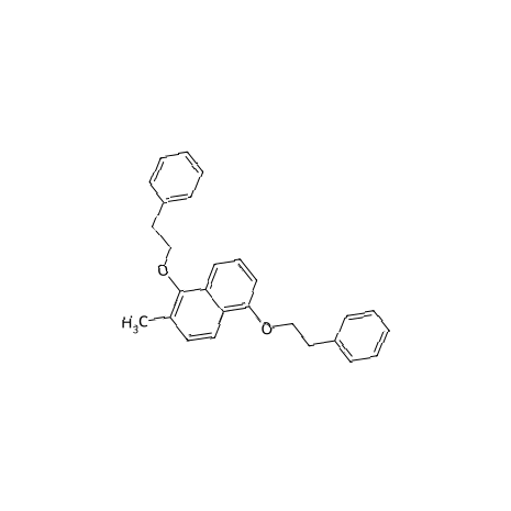 Cc1ccc2c(OCCc3ccccc3)cccc2c1OCCc1ccccc1